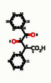 O=C(C(=O)C(C(=O)O)c1ccccc1)c1ccccc1